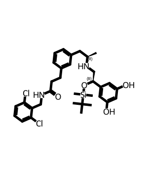 C[C@H](Cc1cccc(CCC(=O)NCc2c(Cl)cccc2Cl)c1)NC[C@H](O[Si](C)(C)C(C)(C)C)c1cc(O)cc(O)c1